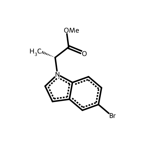 COC(=O)[C@@H](C)n1ccc2cc(Br)ccc21